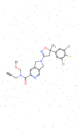 C#CCN(COCC)C(=O)c1cc2c(cn1)CN(C1=NOC(c3cc(Cl)c(F)c(Cl)c3)(C(F)(F)F)C1)C2